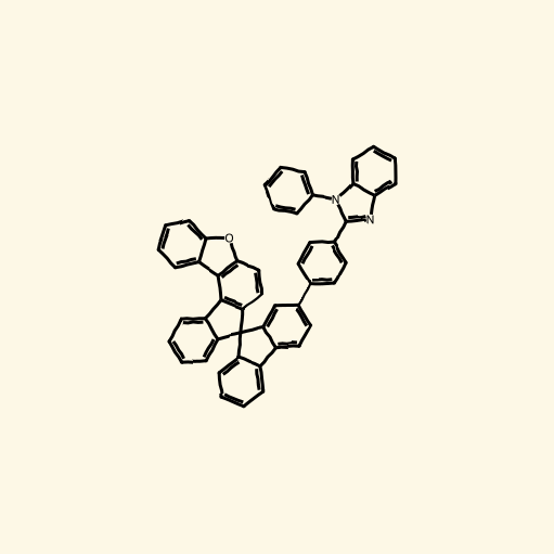 c1ccc(-n2c(-c3ccc(-c4ccc5c(c4)C4(c6ccccc6-5)c5ccccc5-c5c4ccc4oc6ccccc6c54)cc3)nc3ccccc32)cc1